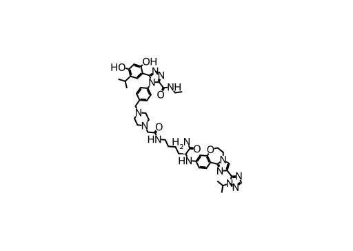 CCNC(=O)c1nnc(-c2cc(C(C)C)c(O)cc2O)n1-c1ccc(CN2CCN(CC(=O)NCCCC[C@H](Nc3ccc4c(c3)OCCn3cc(-c5ncnn5C(C)C)nc3-4)C(N)=O)CC2)cc1